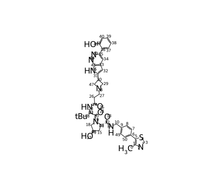 Cc1ncsc1-c1ccc(CNC(=O)[C@@H]2C[C@@H](O)CN2C(=O)[C@@H](NC(=O)CCN2CC(c3cc4cc(-c5ccccc5O)nnc4[nH]3)C2)C(C)(C)C)cc1